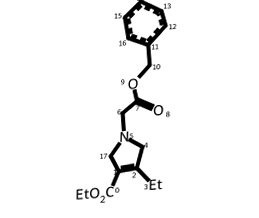 CCOC(=O)C1=C(CC)CN(CC(=O)OCc2ccccc2)C1